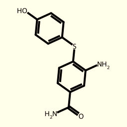 NC(=O)c1ccc(Sc2ccc(O)cc2)c(N)c1